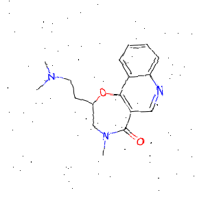 CN(C)CCC1CN(C)C(=O)c2cnc3ccccc3c2O1